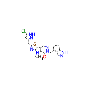 Cn1c2nc(Cc3cc(Cl)[nH]n3)sc2c2cnn(Cc3cccc4[nH]ncc34)c(=O)c21